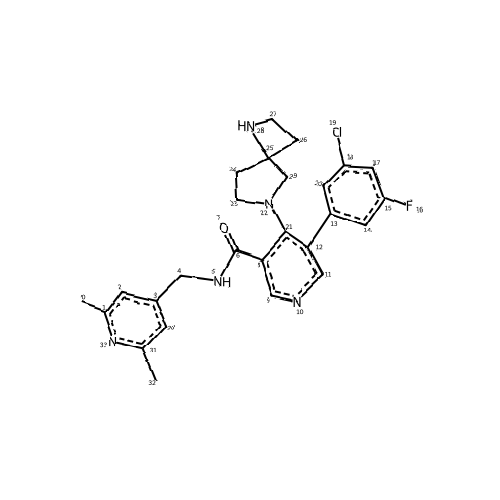 Cc1cc(CNC(=O)c2cncc(-c3cc(F)cc(Cl)c3)c2N2CCC3(CCN3)C2)cc(C)n1